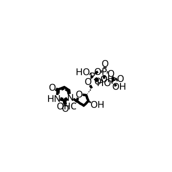 O=C[C@]1(n2ccc(=O)[nH]c2=O)C[C@H](O)[C@@H](COP(=O)(O)OP(=O)(O)OP(=O)(O)O)O1